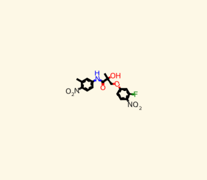 Cc1cc(NC(=O)C(C)(O)COc2ccc([N+](=O)[O-])c(F)c2)ccc1[N+](=O)[O-]